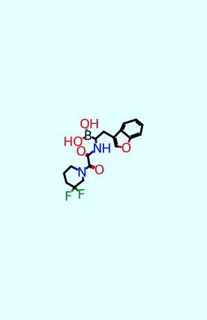 O=C(NC(Cc1coc2ccccc12)B(O)O)C(=O)N1CCCC(F)(F)C1